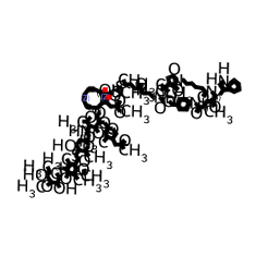 COC(=O)CC1=C2/C(=C/CSSC(C)(C)CCC(=O)CCCNC(=O)OCc3ccc(NC(=O)[C@H](C)CC(=O)[C@H](Cc4c[nH]c5ccccc45)NC(=O)CCCCCN4C(=O)CC(C(C)(C)C)C4=O)cc3)[C@](O)(C#C/C=C\C#C[C@@H]2OC2OC(C)C(NOC3CC(O)C(SC(=O)c4c(C)c(I)c(OC5OC(C)C(O)C(OC)C5O)c(C)c4OC)C(C)O3)C(O)C2OC2CC(C)C(CC(C)=O)CO2)CC1=O